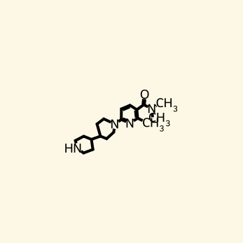 Cc1nc(N2CCC(C3CCNCC3)CC2)ccc1C(=O)N(C)C